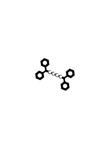 C(=C=C=C(c1ccccc1)c1ccccc1)=C=C(c1ccccc1)c1ccccc1